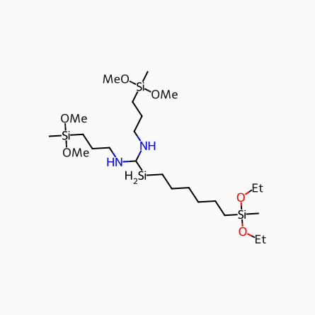 CCO[Si](C)(CCCCCC[SiH2]C(NCCC[Si](C)(OC)OC)NCCC[Si](C)(OC)OC)OCC